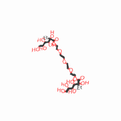 CCC(O)(C(=O)OCCOCCOCCOCCOC(=O)C(O)(CC)C(O)C(O)C(O)CO)C(O)C(O)C(O)CO